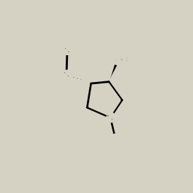 NN[C@H]1CN(C(=O)O)C[C@@H]1O